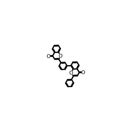 O=c1cc(-c2cccc(-c3cccc4c(=O)cc(-c5ccccc5)oc34)c2)oc2ccccc12